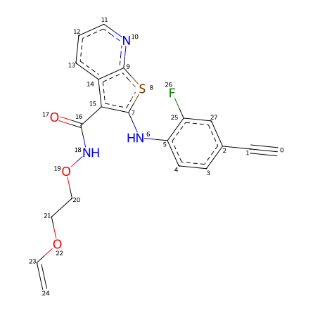 C#Cc1ccc(Nc2sc3ncccc3c2C(=O)NOCCOC=C)c(F)c1